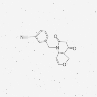 N#Cc1cccc(CN2C(=O)CC(=O)C3=C2C=COC3)c1